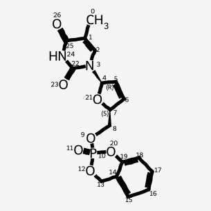 Cc1cn([C@H]2C=C[C@@H](COP3(=O)OCc4ccccc4O3)O2)c(=O)[nH]c1=O